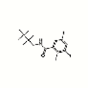 CC(C)(C)C(C)(C)CNC(=O)c1cc(I)cc(I)c1I